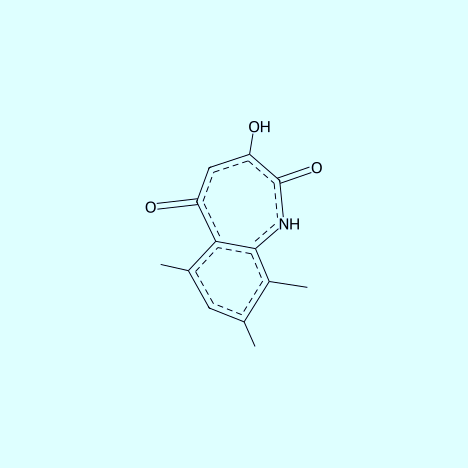 Cc1cc(C)c2c(=O)cc(O)c(=O)[nH]c2c1C